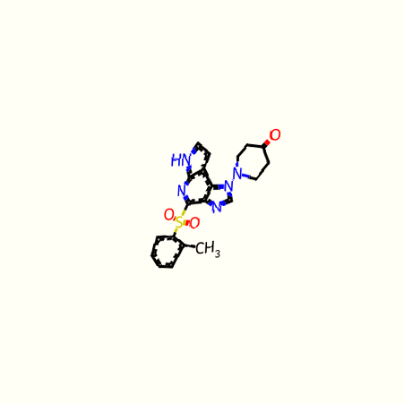 Cc1ccccc1S(=O)(=O)c1nc2[nH]ccc2c2c1ncn2N1CCC(=O)CC1